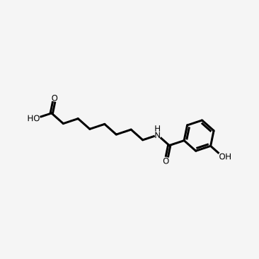 O=C(O)CCCCCCCNC(=O)c1cccc(O)c1